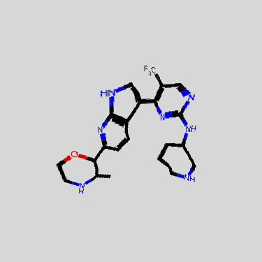 CC1NCCOC1c1ccc2c(-c3nc(NC4CCCNC4)ncc3C(F)(F)F)c[nH]c2n1